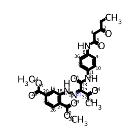 CCC(=O)CC(=O)Nc1ccc(NC(=O)/C(=N\Nc2cc(C(=O)OC)ccc2C(=O)OC)C(C)=O)cc1